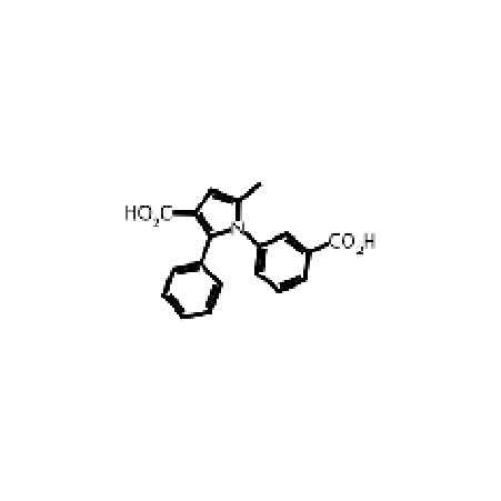 Cc1cc(C(=O)O)c(-c2ccccc2)n1-c1cccc(C(=O)O)c1